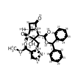 COC(=O)c1cnnn1C[C@@]1(C)[C@H](C(=O)OC(c2ccccc2)c2ccccc2)N2C(=O)C[C@@H]2S1(=O)=O